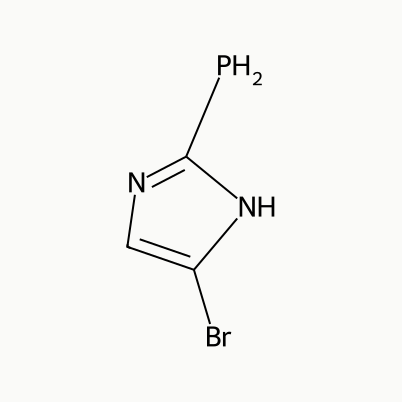 Pc1ncc(Br)[nH]1